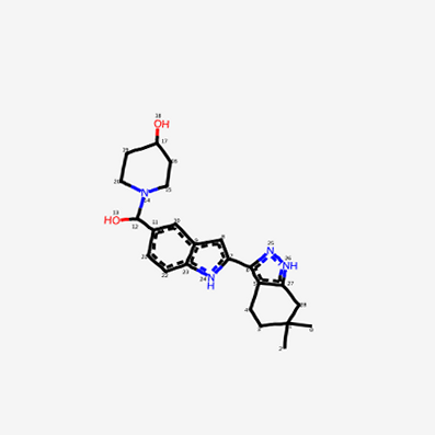 CC1(C)CCc2c(-c3cc4cc(C(O)N5CCC(O)CC5)ccc4[nH]3)n[nH]c2C1